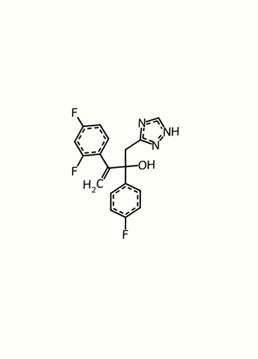 C=C(c1ccc(F)cc1F)C(O)(Cc1nc[nH]n1)c1ccc(F)cc1